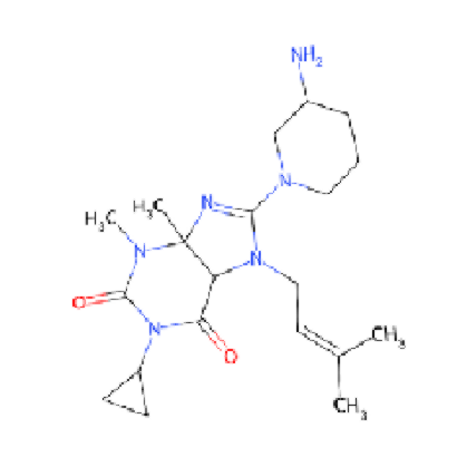 CC(C)=CCN1C(N2CCCC(N)C2)=NC2(C)C1C(=O)N(C1CC1)C(=O)N2C